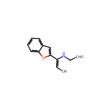 N#C/C=C(\NCC=O)c1cc2ccccc2o1